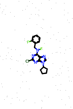 Fc1ccccc1CN(F)c1nc(Cl)nc2c1ncn2C1CCCC1